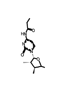 CCC(=O)Nc1ccn([C@@H]2OC(C)[C@@H](C)[C@@H]2C)c(=O)n1